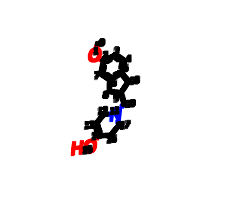 COc1ccc2c(c1)CC(CN1CC=C(O)CC1)C2